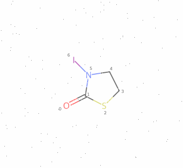 O=C1SCCN1I